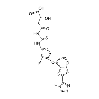 Cn1ccnc1-c1cc2nccc(Oc3ccc(NC(=S)NC(=O)CC(O)C(=O)O)cc3F)c2s1